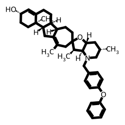 CC1=C2C[C@H]3[C@@H](CCC4=C[C@@H](O)CC[C@@]43C)[C@@H]2CCC2(C1)O[C@@H]1C[C@H](C)CN(Cc3ccc(Oc4ccccc4)cc3)[C@H]1[C@H]2C